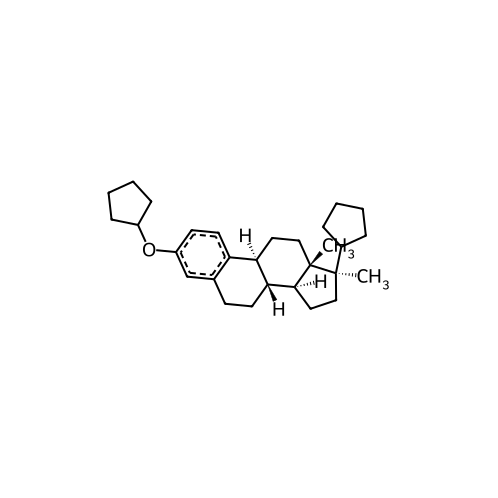 C[C@]12CC[C@@H]3c4ccc(OC5CCCC5)cc4CC[C@H]3[C@@H]1CC[C@]2(C)C1CCCC1